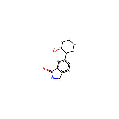 O=C1NCc2ccc(C3CCCCC3O)cc21